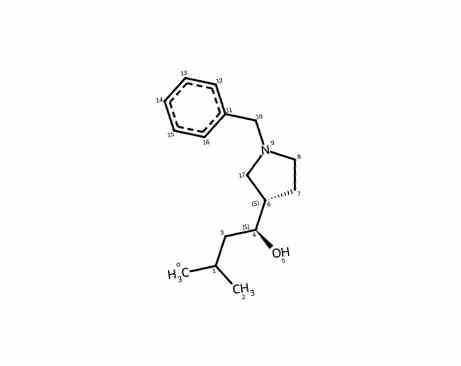 CC(C)C[C@H](O)[C@H]1CCN(Cc2ccccc2)C1